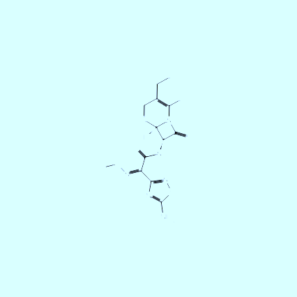 CCO/N=C(\C(=O)N[C@@H]1C(=O)N2C(C(=O)O)=C(CI)CS[C@@H]12)c1nsc(N)n1